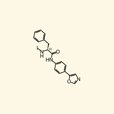 O=C(Nc1ccc(-c2cnco2)cc1)[C@H](Cc1ccccc1)NI